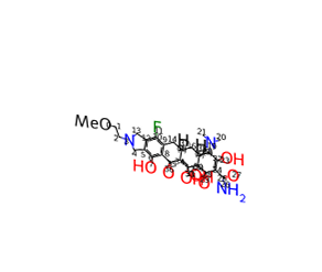 COCCN1Cc2c(O)c3c(c(F)c2C1)C[C@H]1C[C@H]2[C@H](N(C)C)C(O)=C(C(N)=O)C(=O)[C@@]2(O)C(O)=C1C3=O